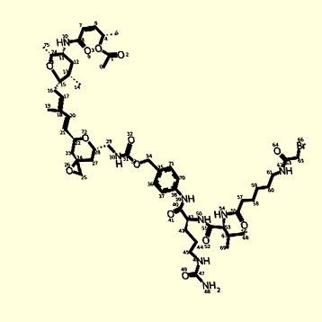 CC(=O)O[C@@H](C)/C=C\C(=O)N[C@@H]1C[C@H](C)[C@H](C/C=C(C)/C=C/[C@@H]2C[C@]3(CO3)C[C@@H](CNC(=O)OCc3ccc(NC(=O)[C@H](CCCNC(N)=O)NC(=O)[C@@H](NC(=O)CCCCCNC(=O)CBr)C(C)C)cc3)O2)O[C@@H]1C